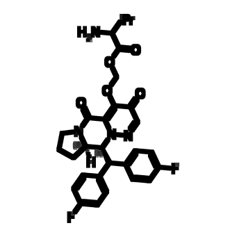 CC(C)C(N)C(=O)OCOc1c2n(ncc1=O)[C@@H](C(c1ccc(F)cc1)c1ccc(F)cc1)[C@H]1CCCN1C2=O